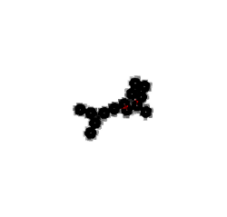 c1ccc(-c2ccc(N(c3ccc(-c4ccc(-c5ccc(-n6c7ccc(-c8ccccc8)cc7c7cc(-c8ccccc8)ccc76)cc5)cc4)cc3)c3ccc4c(c3)C3(c5ccccc5-c5ccccc53)c3ccccc3-4)c(-c3ccccc3)c2)cc1